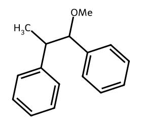 COC(c1ccccc1)C(C)c1ccccc1